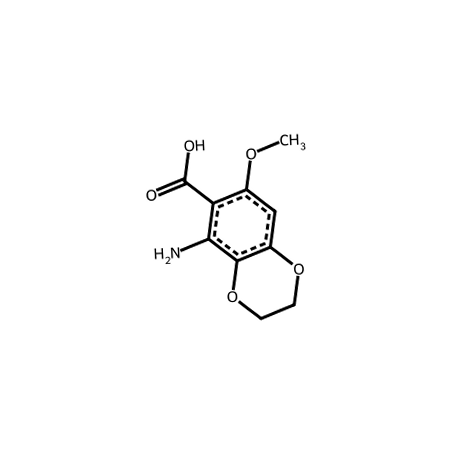 COc1cc2c(c(N)c1C(=O)O)OCCO2